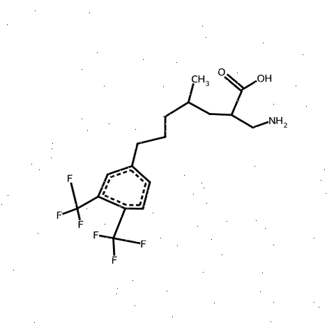 CC(CCCc1ccc(C(F)(F)F)c(C(F)(F)F)c1)CC(CN)C(=O)O